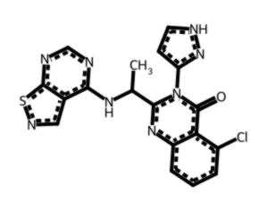 CC(Nc1ncnc2sncc12)c1nc2cccc(Cl)c2c(=O)n1-c1cc[nH]n1